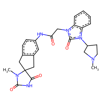 CN1CCC(n2c(=O)n(CC(=O)Nc3ccc4c(c3)CC3(C4)C(=O)NC(=O)N3C)c3ccccc32)C1